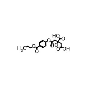 CCCOC(=O)c1ccc(OC(=O)CC(O)(CC(=O)O)C(=O)O)cc1